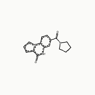 O=C(c1ccc2c(c1)[nH]c(=O)c1cccn12)N1CCCC1